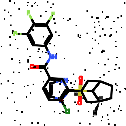 O=C(Nc1cc(F)c(F)c(F)c1)c1ccc(Cl)c(S(=O)(=O)C2C3CC[C@H]2C[C@@H](c2ncc[nH]2)C3)c1